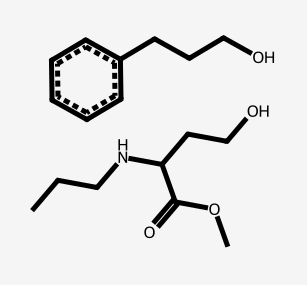 CCCNC(CCO)C(=O)OC.OCCCc1ccccc1